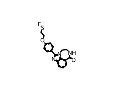 O=C1NCCn2c(-c3ccc(OCCSF)cc3)nc3cccc1c32